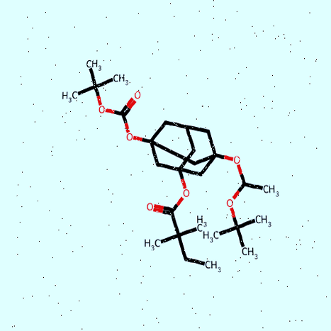 CCC(C)(C)C(=O)OC12CC3CC(OC(=O)OC(C)(C)C)(C1)CC(OC(C)OC(C)(C)C)(C3)C2